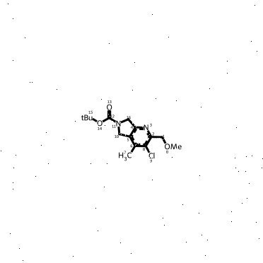 COCc1nc2c(c(C)c1Cl)CN(C(=O)OC(C)(C)C)C2